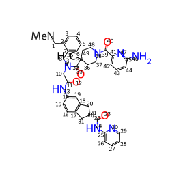 CNCc1ccccc1CN(CC(=O)Nc1ccc2c(c1)C[C@H](C(=O)Nc1ccccn1)C2)C(=O)C1(C)CCN(C(=O)c2cccc(N)n2)CC1